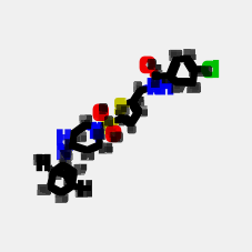 O=C(NCc1ccc(S(=O)(=O)N2CCC(N[C@@H]3C[C@@H]4CC[C@@H]3C4)CC2)s1)c1ccc(Cl)cc1